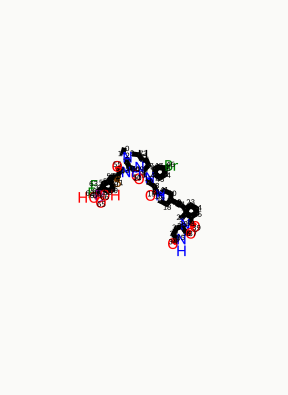 CCN1CC[C@H]2CC[C@@H](C(=O)N(CCC(=O)N3CCC(C#Cc4cccc5c4CN(C4CCC(=O)NC4=O)C5=O)CC3)c3ccc(Br)cc3)N2C(=O)[C@@H](NC(=O)c2cc3cc(C(F)(F)P(=O)(O)O)ccc3s2)C1